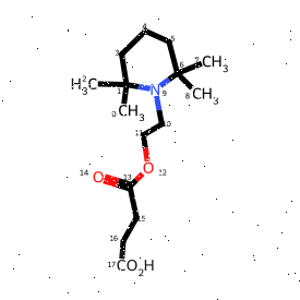 CC1(C)CCCC(C)(C)N1CCOC(=O)CCC(=O)O